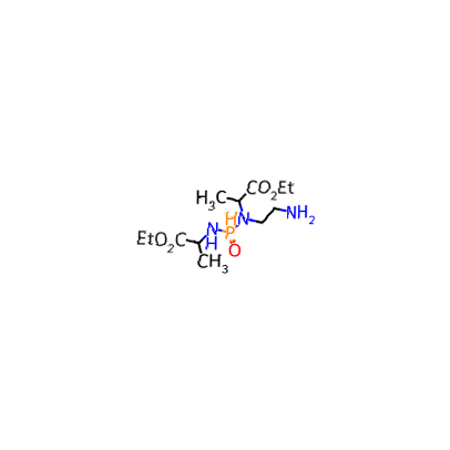 CCOC(=O)C(C)N[PH](=O)N(CCN)C(C)C(=O)OCC